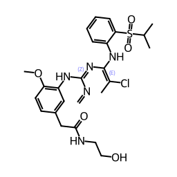 C=N/C(=N\C(Nc1ccccc1S(=O)(=O)C(C)C)=C(/C)Cl)Nc1cc(CC(=O)NCCO)ccc1OC